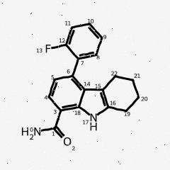 NC(=O)c1ccc(-c2ccccc2F)c2c3c([nH]c12)CCCC3